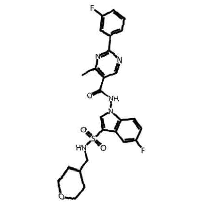 Cc1nc(-c2cccc(F)c2)ncc1C(=O)Nn1cc(S(=O)(=O)NCC2CCOCC2)c2cc(F)ccc21